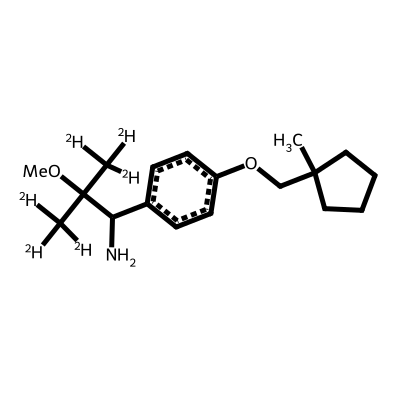 [2H]C([2H])([2H])C(OC)(C(N)c1ccc(OCC2(C)CCCC2)cc1)C([2H])([2H])[2H]